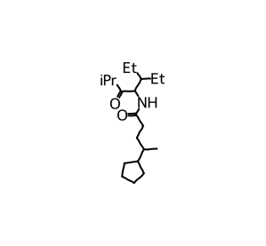 CCC(CC)C(NC(=O)CCC(C)C1CCCC1)C(=O)C(C)C